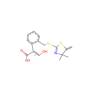 C=C1SC(SCc2ccccc2/C(=C\O)C(=O)O)=NC1(C)C